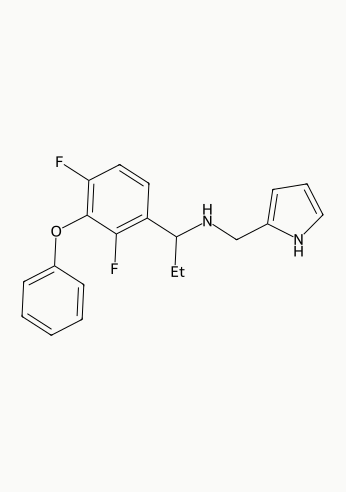 CCC(NCc1ccc[nH]1)c1ccc(F)c(Oc2ccccc2)c1F